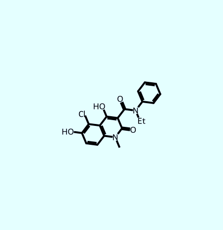 CCN(C(=O)c1c(O)c2c(Cl)c(O)ccc2n(C)c1=O)c1ccccc1